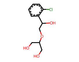 OCC(CO)OCC(O)c1ccccc1Cl